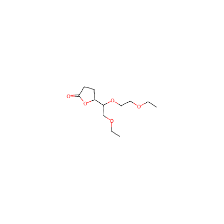 CCOCCOC(COCC)C1CCC(=O)O1